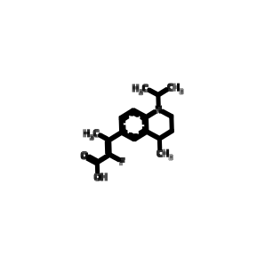 CC(=C(F)C(=O)O)c1ccc2c(c1)C(C)CCN2C(C)C